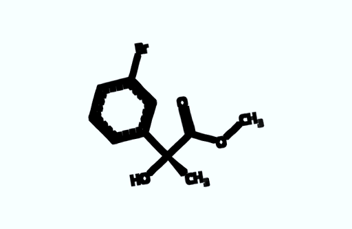 COC(=O)[C@](C)(O)c1cccc(Br)c1